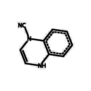 N#CN1C=CNc2ccccc21